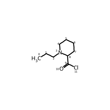 CCCN1CCCCC1C(=O)Cl